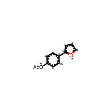 CC(=O)Oc1ccc(-c2ccco2)cc1